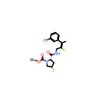 C/C(=C(\F)CNC(=O)[C@@H]1C[C@@H](F)CN1C(=O)OC(C)(C)C)c1cccc(Cl)c1